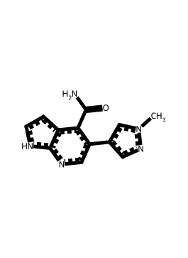 Cn1cc(-c2cnc3[nH]c[c]c3c2C(N)=O)cn1